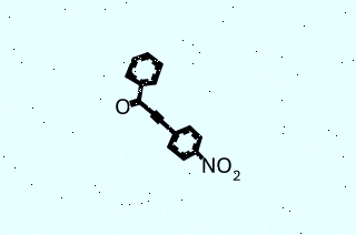 O=C(C#Cc1ccc([N+](=O)[O-])cc1)c1ccccc1